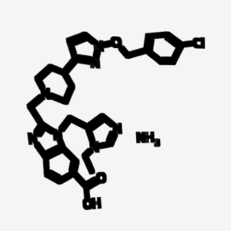 CCn1cncc1Cn1c(CN2CCC(c3ccn(OCc4ccc(Cl)cc4)n3)CC2)nc2ccc(C(=O)O)cc21.N